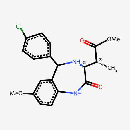 COC(=O)[C@H](C)[C@@H]1NC(c2ccc(Cl)cc2)c2cc(OC)ccc2NC1=O